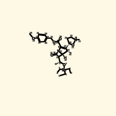 CC[Si](CC)(CC)O[C@H](C)[C@H]1C(=O)N2C(C(=O)OCc3ccc(OC)cc3)=C([C@@H]3CCN(C)O3)[C@H](C)[C@@H]12